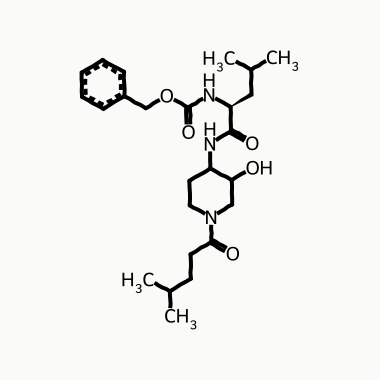 CC(C)CCC(=O)N1CCC(NC(=O)[C@H](CC(C)C)NC(=O)OCc2ccccc2)C(O)C1